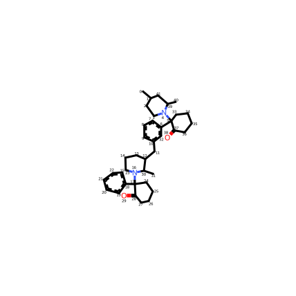 CC1CCN(C2(c3cccc(CC4CCCN(C5(c6ccccc6)CCCCC5=O)C4C)c3)CCCCC2=O)C(C)C1